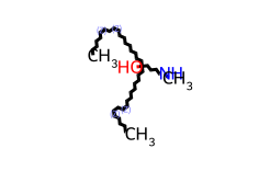 CCCCC/C=C\C/C=C\CCCCCCCCC(O)(CCCCCCCC/C=C\C/C=C\CCCCC)CCCCNC